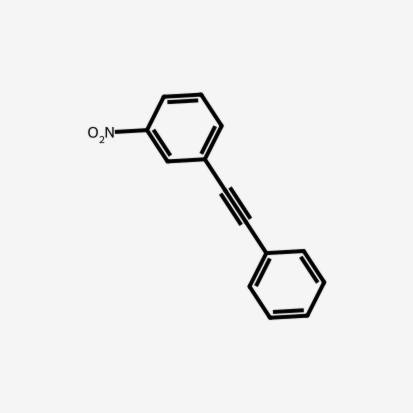 O=[N+]([O-])c1cccc(C#Cc2ccccc2)c1